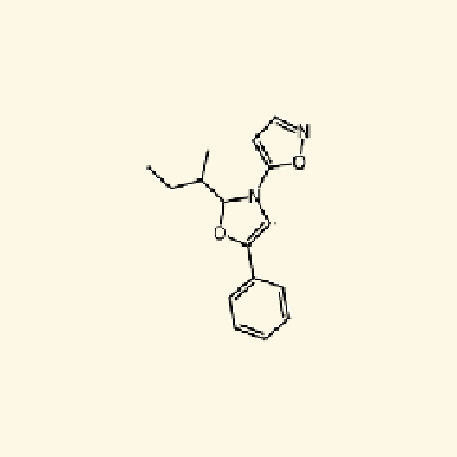 CCC(C)C1OC(c2ccccc2)=[C]N1c1ccno1